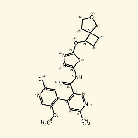 COc1cnc(Cl)cc1-c1cc(C)ncc1C(=O)Nc1nnc(OC2CCC23CCOC3)s1